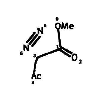 COC(=O)CC(C)=O.N#N